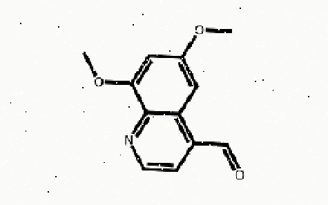 COc1cc(OC)c2nccc(C=O)c2c1